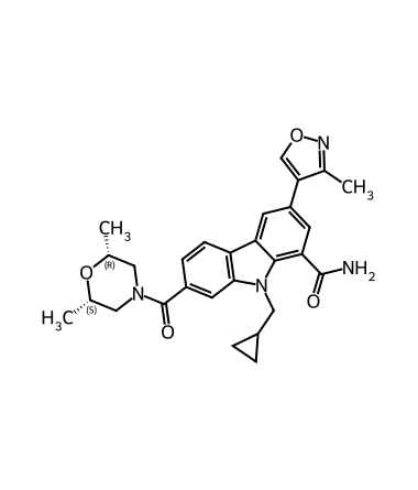 Cc1nocc1-c1cc(C(N)=O)c2c(c1)c1ccc(C(=O)N3C[C@@H](C)O[C@@H](C)C3)cc1n2CC1CC1